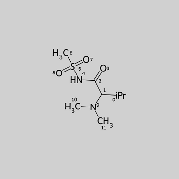 CC(C)C(C(=O)NS(C)(=O)=O)N(C)C